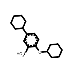 O=C(O)c1cc(C2CCCCC2)ccc1OC1CCCCC1